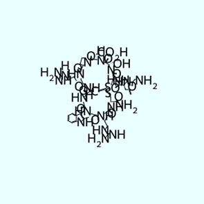 C=CC[C@H](NC(=O)CN)C(=O)N[C@H]1CSC2=CC[C@H](NC(=O)[C@H](CCCNC(=N)N)NC(=O)C3CCCN3C(=O)[C@H](CC(=O)O)NC(=O)[C@H](CO)NC1=O)C(=O)N[C@@H](C)C(=O)N[C@@H](Cc1cc3ccccc3[nH]1)C(=O)N[C@@H](CCCNC(=N)N)C(=O)N[C@H](C(N)=O)CS2